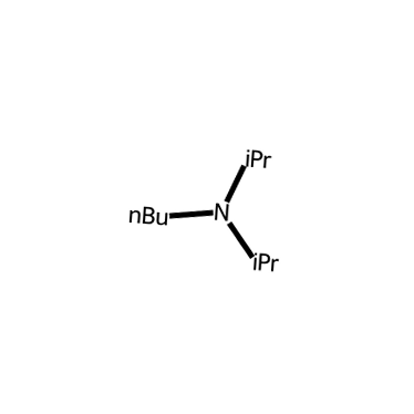 [CH2]CCCN(C(C)C)C(C)C